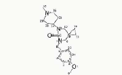 COc1ccc(CN2CC3(CC3)CN(C3CCN(C)CC3)C2=O)cc1